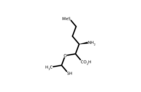 CSCC[C@@H](N)C(OC(C)S)C(=O)O